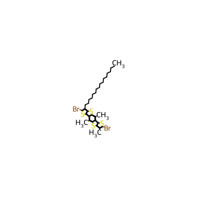 CCCCCCCCCCCCCCCCCc1c(Br)sc2c1sc1c(C)c3c(sc4c(C)c(Br)sc43)c(C)c12